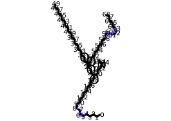 CCCCC/C=C\C/C=C\CCCCCCCCOC(CCCN(C)C)COCC(COCCCCCCCCCCCCCCCCCC)OCCCCCCCC/C=C\C/C=C\CCCCC